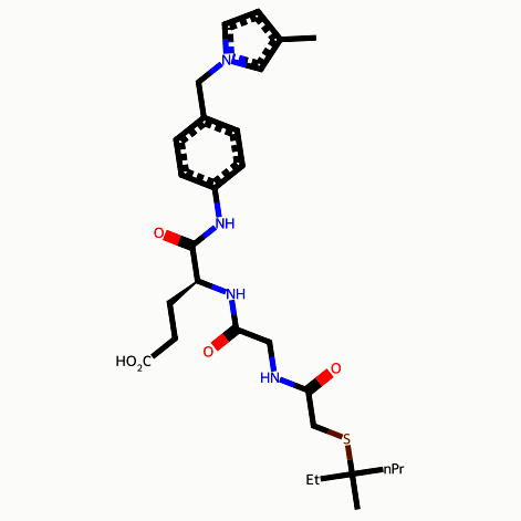 CCCC(C)(CC)SCC(=O)NCC(=O)N[C@@H](CCC(=O)O)C(=O)Nc1ccc(Cn2ccc(C)c2)cc1